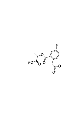 CC(OC(=O)c1cc(F)ccc1C[N+](=O)[O-])C(=O)O